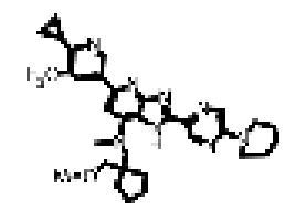 COCC1(CN(C)c2cc(-c3cnc(C4CC4)c(C(F)(F)F)c3)nc3nc(-c4cnc(N5CCCCC5)cn4)[nH]c23)CCCC1